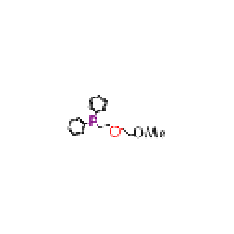 COCCOCCP(c1ccccc1)c1ccccc1